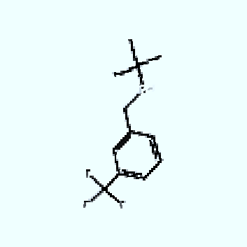 CC(C)(C)NCc1cccc(C(F)(F)F)c1